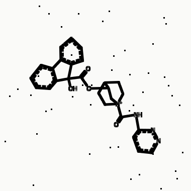 O=C(OC1C[N+]2(C(=O)Nc3cccnn3)CCC1CC2)C1(O)c2ccccc2-c2ccccc21